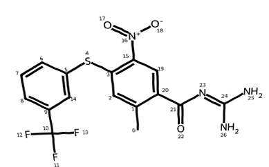 Cc1cc(Sc2cccc(C(F)(F)F)c2)c([N+](=O)[O-])cc1C(=O)N=C(N)N